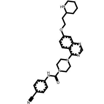 N#Cc1ccc(NC(=O)N2CCN(c3ncnc4cc(OCCC5CCCCN5)ccc34)CC2)cc1